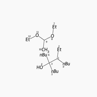 CCCCC(CC)C(O)(CCCC)CCCC.CCOC(C)OCC